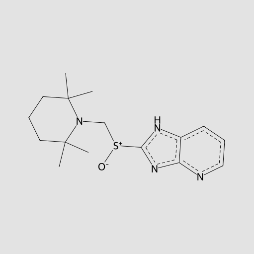 CC1(C)CCCC(C)(C)N1C[S+]([O-])c1nc2ncccc2[nH]1